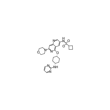 O=S(=O)(Nc1cnc2cc(N3CCOCC3)nc(O[C@H]3CC[C@@H](Nc4ncccn4)CC3)c2c1)C1CCC1